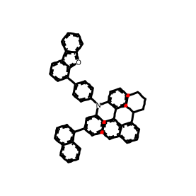 c1cc(-c2cccc3ccccc23)cc(N(c2ccc(-c3cccc4c3oc3ccccc34)cc2)c2ccccc2-c2cccc3cccc(C4CCCCC4)c23)c1